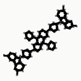 Cc1ccc2c(c1)c1cc(C)ccc1n2-c1ccc(-c2ccc3c(-c4ccccc4)c4cc(-c5ccc(-n6c7ccc(C)cc7c7cc(C)ccc76)cc5)ccc4c(-c4ccccc4)c3c2)cc1